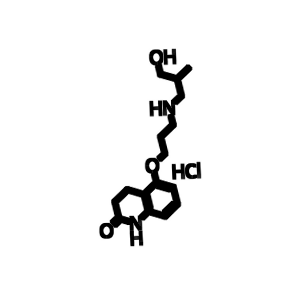 CC(CO)CNCCCOc1cccc2c1CCC(=O)N2.Cl